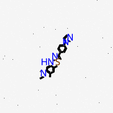 CCN(C)c1cc(Nc2nc(-c3ccc(-n4ccnc4)cc3)cs2)c(C)cc1C